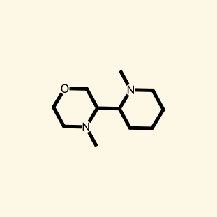 CN1CCCCC1C1COCCN1C